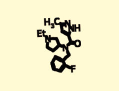 CCN1CCC(N(Cc2ccccc2F)C(=O)c2cc(C)n[nH]2)C1